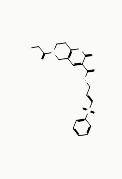 CC(C)(C)CC(=O)N1CCc2[nH]c(=O)c(C(=O)NC/C=C/S(=O)(=O)c3ccccc3)cc2C1